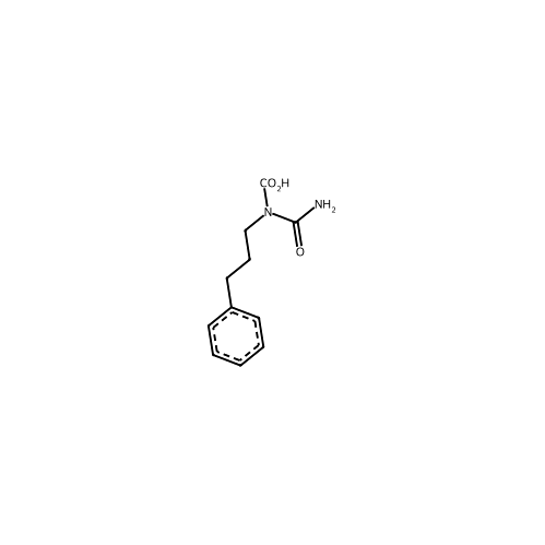 NC(=O)N(CCCc1ccccc1)C(=O)O